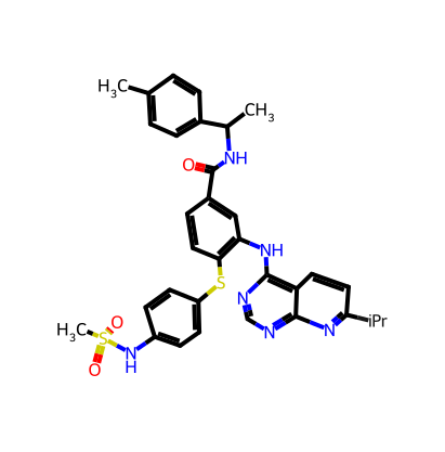 Cc1ccc(C(C)NC(=O)c2ccc(Sc3ccc(NS(C)(=O)=O)cc3)c(Nc3ncnc4nc(C(C)C)ccc34)c2)cc1